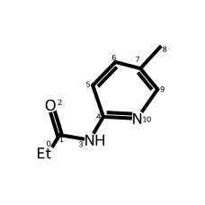 CCC(=O)Nc1ccc(C)cn1